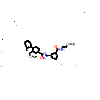 COCCNC(=O)c1cccc(-c2noc(-c3ccc(-c4ccccc4C)c(COC)c3)n2)c1